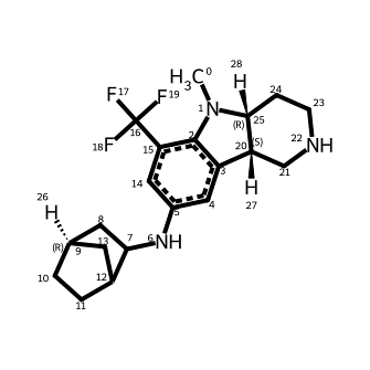 CN1c2c(cc(NC3C[C@@H]4CCC3C4)cc2C(F)(F)F)[C@H]2CNCC[C@H]21